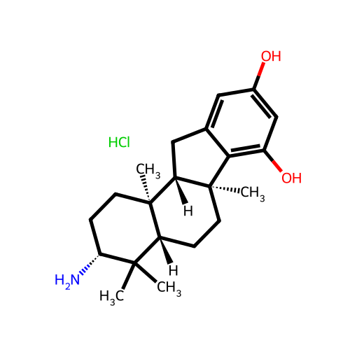 CC1(C)[C@H](N)CC[C@]2(C)[C@@H]1CC[C@]1(C)c3c(O)cc(O)cc3C[C@@H]21.Cl